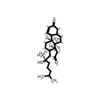 CC(C)CCC[C@](C)(O)[C@H]1C(=O)C[C@H]2[C@@H]3CCC4CC(=O)C=C[C@]4(C)[C@H]3CC[C@@]21C